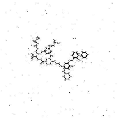 Cc1c(COc2cc(OCCCN3CCN(C(=O)CCC(C(=O)O)N(CCNCC(=O)O)CCN(CCNCC(=O)O)CC(=O)O)CC3)c(CN3CCCCC3)cc2Br)cccc1-c1ccccc1